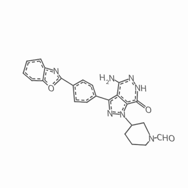 Nc1n[nH]c(=O)c2c1c(-c1ccc(-c3nc4ccccc4o3)cc1)nn2C1CCCN(C=O)C1